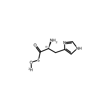 [2H]OSC(=O)[C@@H](N)Cc1c[nH]cn1